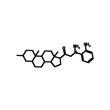 CC1CCC2(C)C(CCC3C2CCC2(C)C(C(=O)CN(N)c4ccccc4N)CCC32)C1